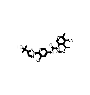 CO[C@@H](C)c1c(NC(=O)Nc2cnc(-n3ncc(C(C)(C)O)n3)c(Cl)c2)cnc(C)c1C#N